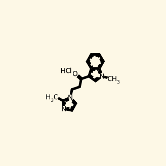 Cc1nccn1CCC(=O)c1cn(C)c2ccccc12.Cl